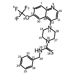 FC(F)(F)Oc1ccc2nccc(N3CCN(C(=S)NCc4ccccc4)CC3)c2c1